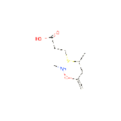 C=C(CC(C)SCCC(=O)O)ONC